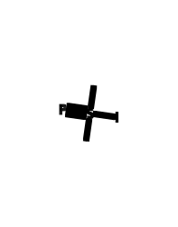 CS(C)(#P)I